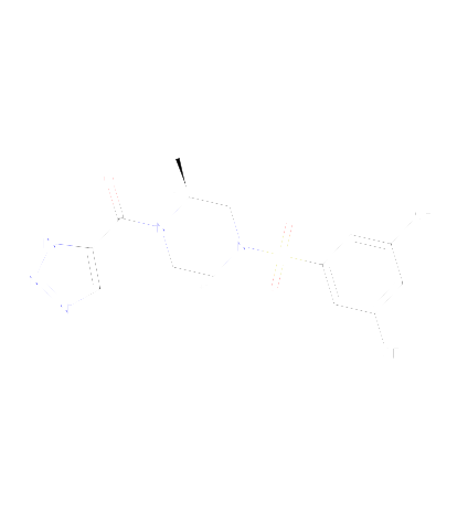 C[C@@H]1CN(C(=O)c2cnn[nH]2)[C@@H](C)CN1S(=O)(=O)c1cc(C(F)(F)F)cc(C(F)(F)F)c1